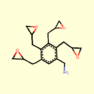 NCc1cc(CC2CO2)c(CC2CO2)c(CC2CO2)c1CC1CO1